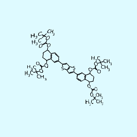 CC(C)(C)OC(=O)OC1CCC(OC(=O)OC(C)(C)C)c2cc(-c3cc4sc(-c5ccc6c(c5)C(OC(=O)OC(C)(C)C)CCC6OC(=O)OC(C)(C)C)cc4s3)ccc21